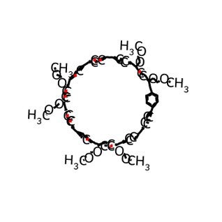 COCOC12CCC(OCOC)(CC1)c1ccc(cc1)-c1ccc(cc1)-c1ccc(cc1)C1(OCOC)CCC(OCOC)(CC1)c1ccc(cc1)-c1ccc(cc1)C1(OCOC)CCC(OCOC)(CC1)c1ccc(cc1)-c1ccc(cc1)-c1ccc2cc1